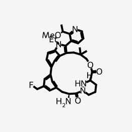 CCn1c(-c2cccnc2[C@H](C)OC)c2c3cc(ccc31)-c1cc(CF)cc(c1)C[C@H](N)C(=O)N1CCC[C@H](N1)C(=O)OCC(C)(C)C2